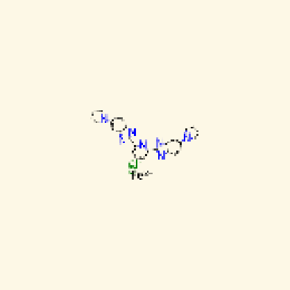 C1=CC2N=C(c3cccc(C4=NC5C=CC(N6CCCC6)=CC5=N4)n3)N=C2C=C1N1CCCC1.[Cl-].[Cl-].[Fe+2]